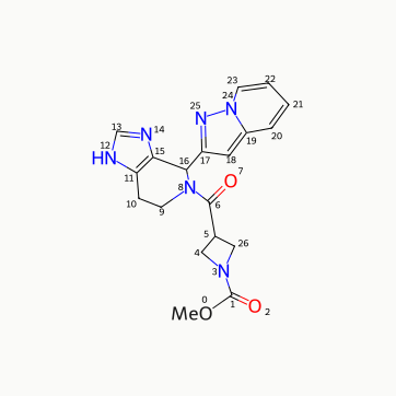 COC(=O)N1CC(C(=O)N2CCc3[nH]cnc3C2c2cc3ccccn3n2)C1